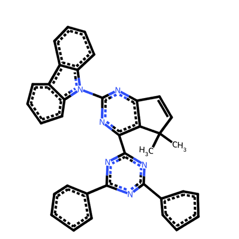 CC1(C)C=Cc2nc(-n3c4ccccc4c4ccccc43)nc(-c3nc(-c4ccccc4)nc(-c4ccccc4)n3)c21